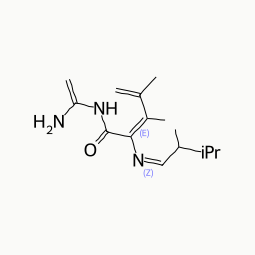 C=C(N)NC(=O)C(/N=C\C(C)C(C)C)=C(/C)C(=C)C